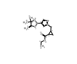 C=C1OB(c2cnn(CC3CC3C(=O)OCC)c2)OC1(C)C